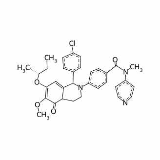 CC[C@@H](C)OC1=C(OC)C(=O)C2CCN(c3ccc(C(=O)N(C)c4ccncc4)cc3)C(c3ccc(Cl)cc3)C2=C1